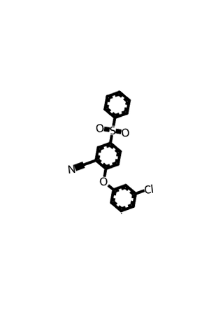 N#Cc1cc(S(=O)(=O)c2ccccc2)ccc1Oc1c[c]cc(Cl)c1